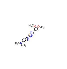 COc1ccc(-c2cn3nc(NCc4ccc(N(C)C)cc4)sc3n2)cc1OC